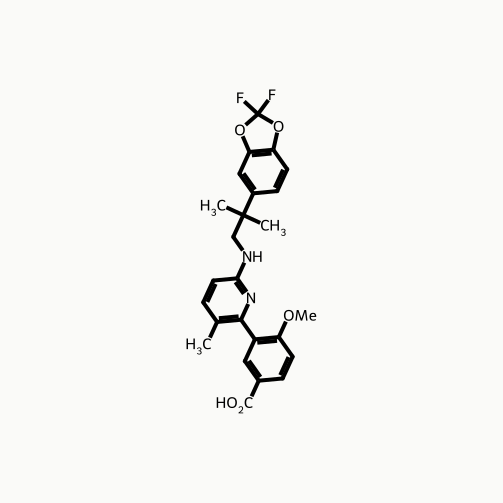 COc1ccc(C(=O)O)cc1-c1nc(NCC(C)(C)c2ccc3c(c2)OC(F)(F)O3)ccc1C